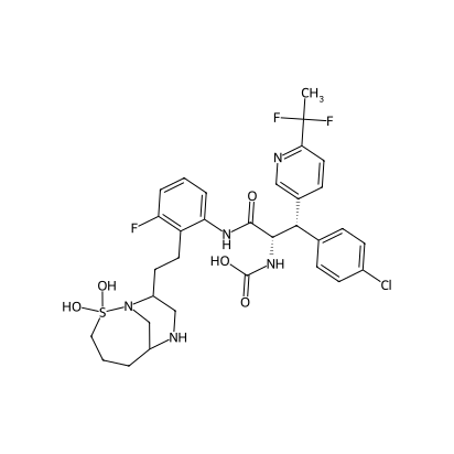 CC(F)(F)c1ccc([C@H](c2ccc(Cl)cc2)[C@H](NC(=O)O)C(=O)Nc2cccc(F)c2CCC2CNC3CCCS(O)(O)N2C3)cn1